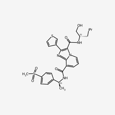 CC(C)C[C@@H](CO)NC(=O)c1c(-c2ccsc2)nc2c(C(=O)N[C@@H](C)c3ccc(S(C)(=O)=O)cc3)cccn12